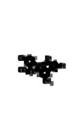 CCc1cn2c(CC)nc3c(C(C)Nc4ccc(Cl)nc4C(=O)O)cc(C)cc3c2n1